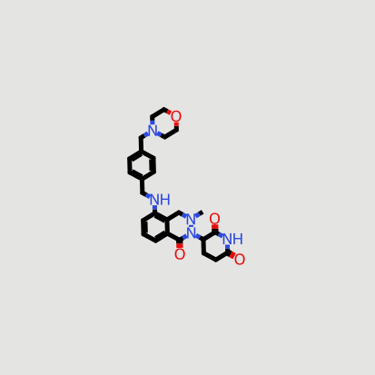 CN1Cc2c(NCc3ccc(CN4CCOCC4)cc3)cccc2C(=O)N1C1CCC(=O)NC1=O